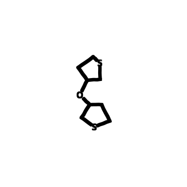 C1CC(OC2CCSC2)CS1